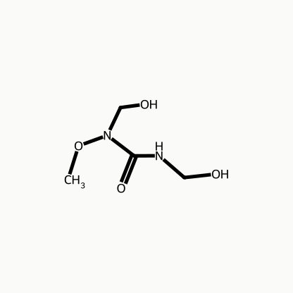 CON(CO)C(=O)NCO